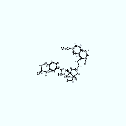 COc1ccc2ncc(F)c(CCN3C[C@@H]4CC[C@H](NCc5ccc6c(n5)NC(=O)CS6)[C@@H]4C3)c2n1